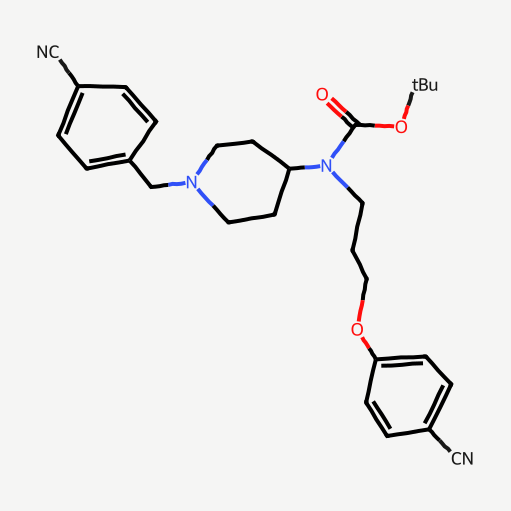 CC(C)(C)OC(=O)N(CCCOc1ccc(C#N)cc1)C1CCN(Cc2ccc(C#N)cc2)CC1